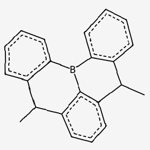 CC1c2ccccc2B2c3ccccc3C(C)c3cccc1c32